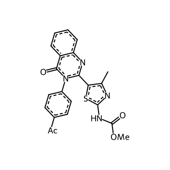 COC(=O)Nc1nc(C)c(-c2nc3ccccc3c(=O)n2-c2ccc(C(C)=O)cc2)s1